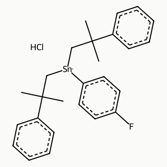 CC(C)([CH2][Sn]([CH2]C(C)(C)c1ccccc1)[c]1ccc(F)cc1)c1ccccc1.Cl